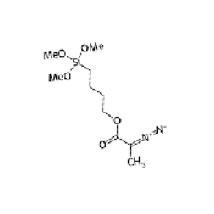 CO[Si](CCCCOC(=O)C(C)=[N+]=[N-])(OC)OC